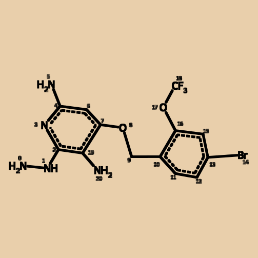 NNc1nc(N)cc(OCc2ccc(Br)cc2OC(F)(F)F)c1N